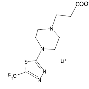 O=C([O-])CCN1CCN(c2nnc(C(F)(F)F)s2)CC1.[Li+]